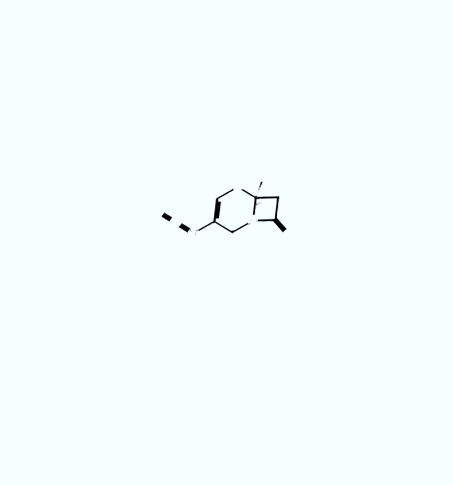 O=C=NC1=CS[C@@H]2CC(=O)N2C1